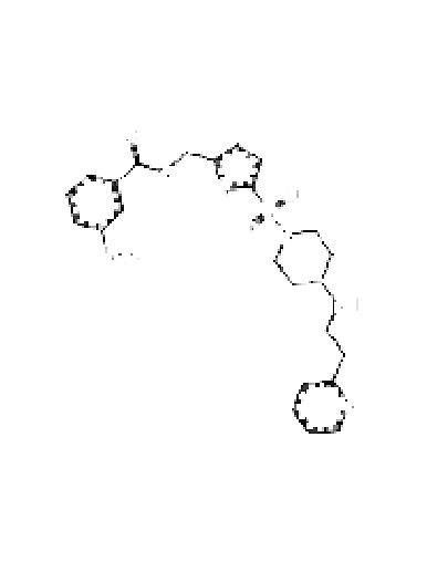 COc1cccc(C(=O)NCc2ccc(S(=O)(=O)N3CCC(NCCc4ccccn4)CC3)s2)c1